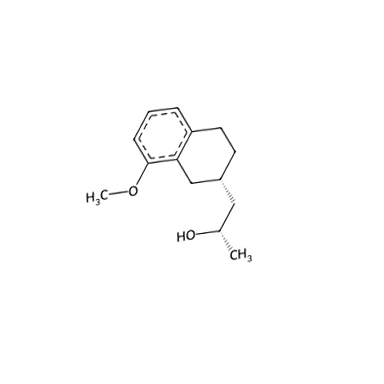 COc1cccc2c1C[C@@H](C[C@H](C)O)CC2